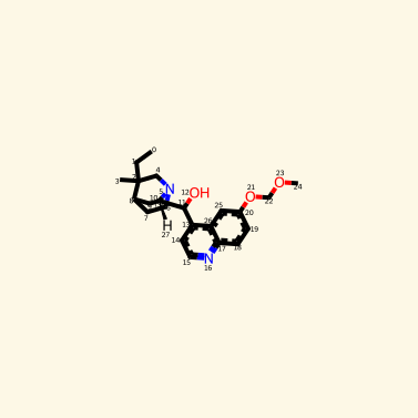 CCC1(C)CN2CCC1C[C@H]2C(O)c1ccnc2ccc(OCOC)cc12